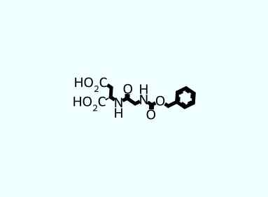 O=C(O)C[C@H](NC(=O)CNC(=O)OCc1ccccc1)C(=O)O